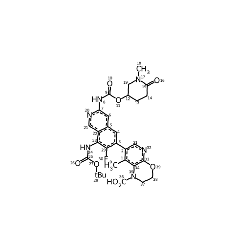 Cc1c(-c2cc3cc(NC(=O)OC4CCC(=O)N(C)C4)ncc3c(NC(=O)OC(C)(C)C)c2F)cnc2c1N(C(=O)O)CCO2